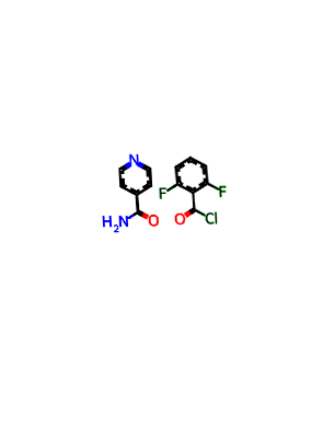 NC(=O)c1ccncc1.O=C(Cl)c1c(F)cccc1F